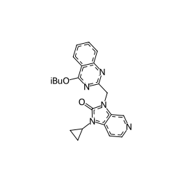 CC(C)COc1nc(Cn2c(=O)n(C3CC3)c3ccncc32)nc2ccccc12